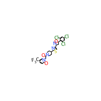 O=C(Cn1cc(C(F)(F)F)ccc1=O)N1CCC(c2nc(C3=NOC(c4c(Cl)cc(Cl)cc4Cl)C3)cs2)CC1